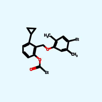 CCC(=O)Oc1cccc(C2CC2)c1COc1cc(C)c(CC)cc1C